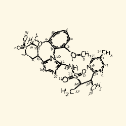 COc1cccc(OC)c1-n1c(NS(=O)(=O)C(C)C(C)c2ncc(C)cn2)nnc1C1CCS(=O)(=O)CC1